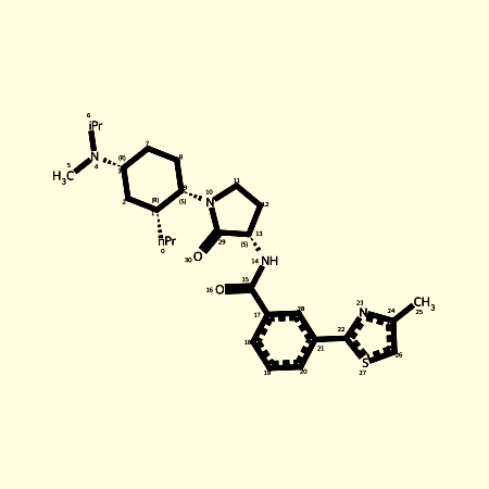 CCC[C@@H]1C[C@H](N(C)C(C)C)CC[C@@H]1N1CC[C@H](NC(=O)c2cccc(-c3nc(C)cs3)c2)C1=O